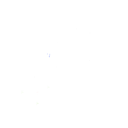 CC1([B-](F)(F)F)CCN(Cc2ccccc2)CC1